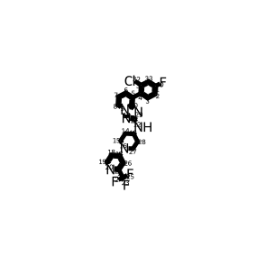 Fc1ccc(-c2cccn3nc(NC4CCN(c5ccnc(C(F)(F)F)c5)CC4)nc23)c(Cl)c1